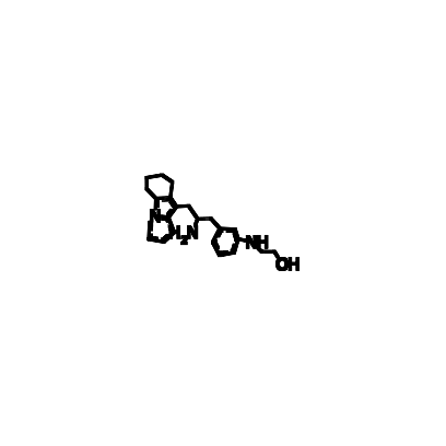 NC(Cc1cccc(NCCO)c1)Cc1c2c(n3ccccc13)CCCC2